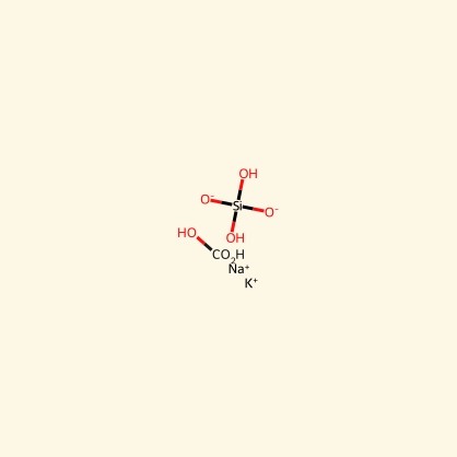 O=C(O)O.[K+].[Na+].[O-][Si]([O-])(O)O